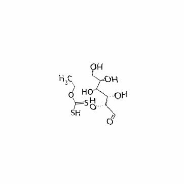 CCOC(=S)S.O=C[C@H](O)[C@@H](O)[C@H](O)[C@H](O)CO